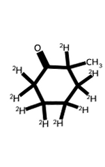 [2H]C1([2H])C(=O)C([2H])(C)C([2H])([2H])C([2H])([2H])C1([2H])[2H]